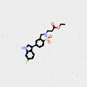 CCOC(=O)CCN1Cc2cc(-c3c[nH]c4cc(F)ccc34)ccc2S1(=O)=O